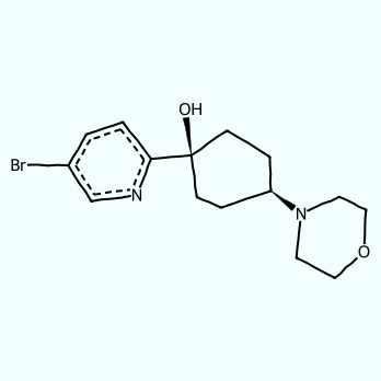 O[C@]1(c2ccc(Br)cn2)CC[C@H](N2CCOCC2)CC1